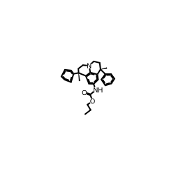 CCCOC(=O)Nc1cc2c3c(c1)[C@@](C)(c1ccccc1)CCN3CC[C@@]2(C)c1ccccc1